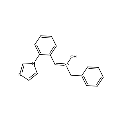 O/[N+](=C\c1ccccc1-n1ccnc1)Cc1ccccc1